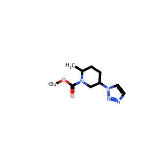 CC1CCC(n2ccnn2)CN1C(=O)OC(C)(C)C